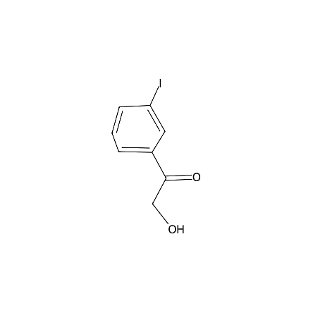 O=C(CO)c1cccc(I)c1